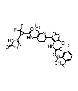 Cc1nc(-c2onc(C)c2NC(=O)O[C@H](C)c2ccccc2Cl)ccc1NC(=O)C1C(c2noc(=O)[nH]2)C1(F)F